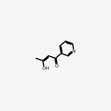 CC(O)=CC(=O)c1cccnc1